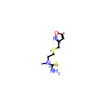 CN(CCSCc1ccon1)C(N)=S